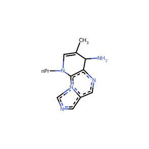 CCCN1C=C(C)C(N)c2ncc3cncn3c21